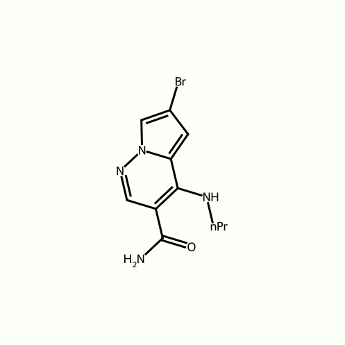 CCCNc1c(C(N)=O)cnn2cc(Br)cc12